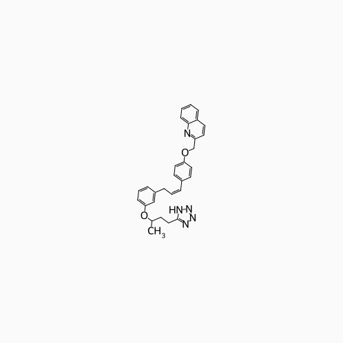 CC(CCc1nnn[nH]1)Oc1cccc(CC=Cc2ccc(OCc3ccc4ccccc4n3)cc2)c1